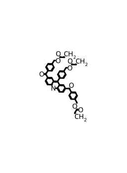 C=CC(=O)OCc1ccc(C(=O)c2ccc3nc4ccc(C(=O)c5ccc(COC(=O)C=C)cc5)cc4c(-c4ccc(COC(=O)C=C)cc4)c3c2)cc1